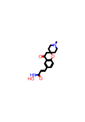 CN1CCC2(CC1)CC(=O)c1cc(C=CC(=O)NO)ccc1O2